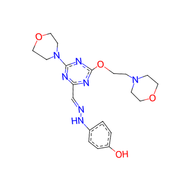 Oc1ccc(N/N=C/c2nc(OCCN3CCOCC3)nc(N3CCOCC3)n2)cc1